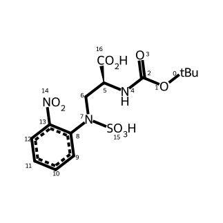 CC(C)(C)OC(=O)N[C@@H](CN(c1ccccc1[N+](=O)[O-])S(=O)(=O)O)C(=O)O